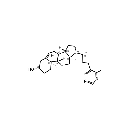 Cc1ncncc1CC[C@@H](C)[C@H]1CC[C@H]2[C@@H]3CC=C4C[C@@H](O)CC[C@]4(C)[C@H]3CC[C@]12C